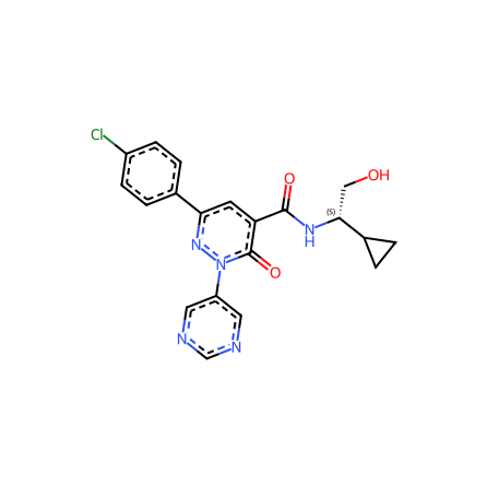 O=C(N[C@H](CO)C1CC1)c1cc(-c2ccc(Cl)cc2)nn(-c2cncnc2)c1=O